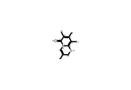 CC1=Cn2c(c(I)c(C)c(C)c2=O)SC1